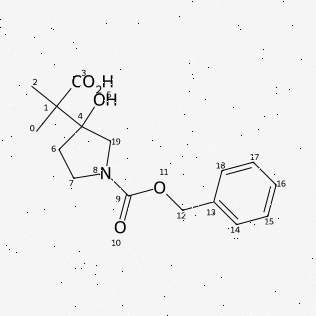 CC(C)(C(=O)O)C1(O)CCN(C(=O)OCc2ccccc2)C1